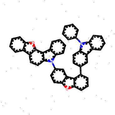 c1ccc(-n2c3ccccc3c3cc(-c4cccc5oc6ccc(-n7c8ccccc8c8c9oc%10ccccc%10c9ccc87)cc6c45)ccc32)cc1